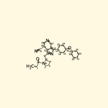 C=CC(=O)N1CCCC1Cn1nc(-c2ccc(Oc3ccccc3)cc2)c2cncc(C#N)c21